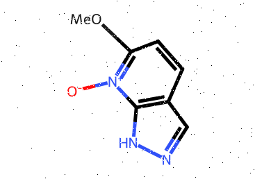 COc1ccc2cn[nH]c2[n+]1[O-]